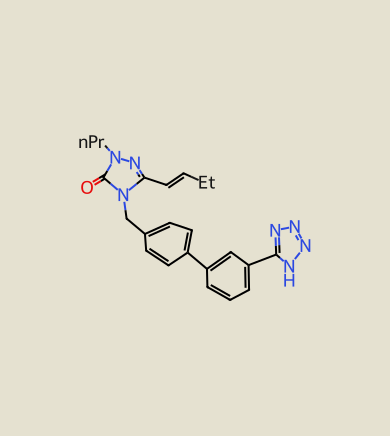 CCC=Cc1nn(CCC)c(=O)n1Cc1ccc(-c2cccc(-c3nnn[nH]3)c2)cc1